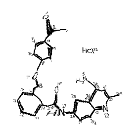 CC(=O)c1ccc(OCc2ccccc2C(=O)Nc2ccc3nc(C)cc(N)c3c2)cc1.Cl